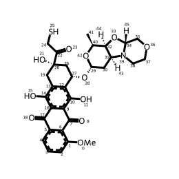 COc1cccc2c1C(=O)c1c(O)c3c(c(O)c1C2=O)C[C@@](O)(C(=O)CS)C[C@@H]3O[C@H]1C[C@H]2[C@H](O[C@@H]3COCCN32)[C@H](C)O1